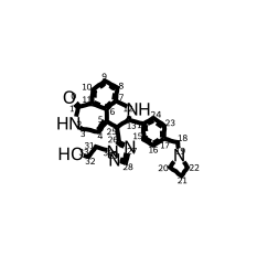 O=C1NCC=C2c3c(cccc31)NC(c1ccc(CN3CCC3)cc1)C2c1ncnn1CCO